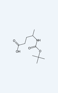 CC(CCC(=O)O)NC(=O)OC(C)(C)C